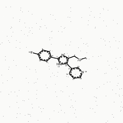 COCc1nc(-c2ccc(F)cc2)[nH]c1-c1cccnc1